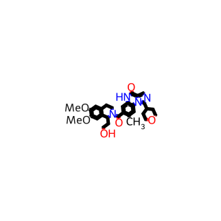 COc1cc2c(cc1OC)C(CCO)N(C(=O)c1cc3[nH]c(=O)c4cnc(C5CCOCC5)n4c3cc1C)CC2